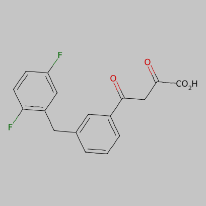 O=C(O)C(=O)CC(=O)c1cccc(Cc2cc(F)ccc2F)c1